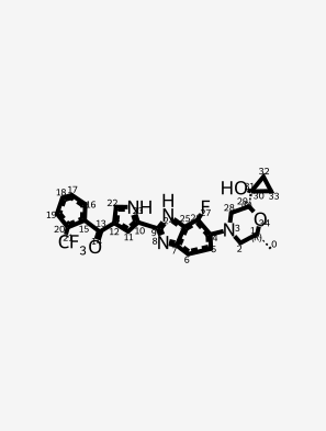 C[C@@H]1CN(c2ccc3nc(-c4cc(C(=O)c5ccccc5C(F)(F)F)c[nH]4)[nH]c3c2F)C[C@H](C2(O)CC2)O1